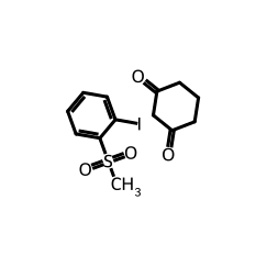 CS(=O)(=O)c1ccccc1I.O=C1CCCC(=O)C1